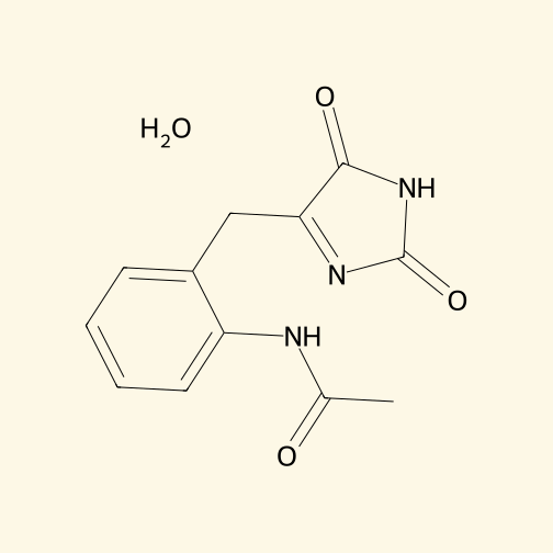 CC(=O)Nc1ccccc1CC1=NC(=O)NC1=O.O